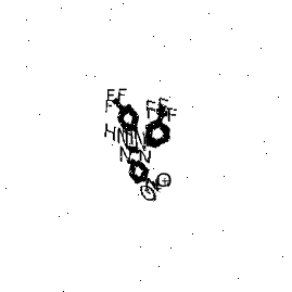 O=[N+]([O-])c1ccc2nc(Nc3cccc(C(F)(F)F)c3)c(Nc3cccc(C(F)(F)F)c3)nc2c1